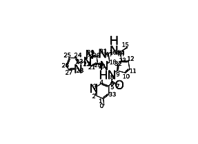 Cc1cncc(C(=O)Nc2cccc([C@H](C)Nc3cnc4cn(-c5ccccn5)nc4n3)c2)c1